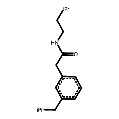 CC(C)CCNC(=O)Cc1cccc(CC(C)C)c1